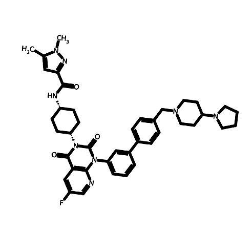 Cc1cc(C(=O)N[C@H]2CC[C@@H](n3c(=O)c4cc(F)cnc4n(-c4cccc(-c5ccc(CN6CCC(N7CCCC7)CC6)cc5)c4)c3=O)CC2)nn1C